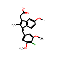 COc1ccc2c(c1)C(CC(=O)O)=C(C)/C2=C/c1cc(OC)c(Br)c(OC)c1